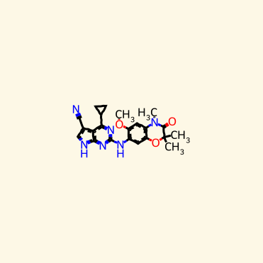 COc1cc2c(cc1Nc1nc(C3CC3)c3c(C#N)c[nH]c3n1)OC(C)(C)C(=O)N2C